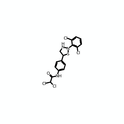 O=C(Nc1ccc(C2CNN(c3c(Cl)cccc3Cl)S2)cc1)C(Cl)Cl